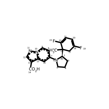 CC1([C@H]2CCCN2c2ccn3ncc(C(=O)O)c3c2)CC(F)=CC=C1F